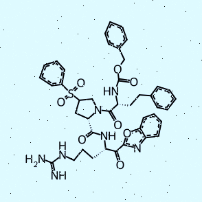 N=C(N)NCCC[C@H](NC(=O)[C@@H]1CC(S(=O)(=O)c2ccccc2)CN1C(=O)[C@@H](CCc1ccccc1)NC(=O)OCc1ccccc1)C(=O)c1nc2ccccc2o1